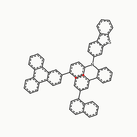 c1cc(-c2ccccc2N(c2ccc(-c3ccc4c5ccccc5c5ccccc5c4c3)cc2)c2ccc3c(c2)sc2ccccc23)cc(-c2cccc3ccccc23)c1